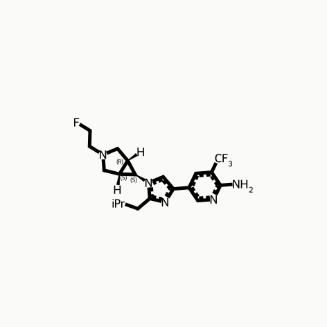 CC(C)Cc1nc(-c2cnc(N)c(C(F)(F)F)c2)cn1[C@H]1[C@@H]2CN(CCF)C[C@@H]21